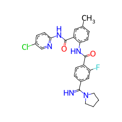 Cc1ccc(NC(=O)c2ccc(C(=N)N3CCCC3)cc2F)c(C(=O)Nc2ccc(Cl)cn2)c1